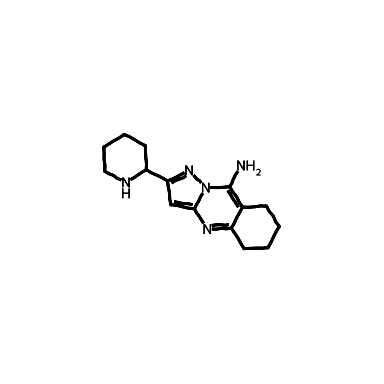 Nc1c2c(nc3cc(C4CCCCN4)nn13)CCCC2